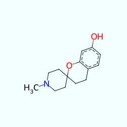 CN1CCC2(CCc3ccc(O)cc3O2)CC1